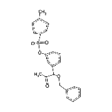 CC(=O)C(OCc1ccccc1)c1cccc(OS(=O)(=O)c2ccc(C)cc2)c1